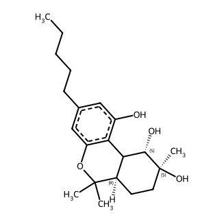 CCCCCc1cc(O)c2c(c1)OC(C)(C)[C@@H]1CC[C@](C)(O)[C@@H](O)C21